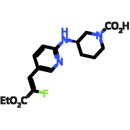 CCOC(=O)/C(F)=C/c1ccc(N[C@@H]2CCCN(C(=O)O)C2)nc1